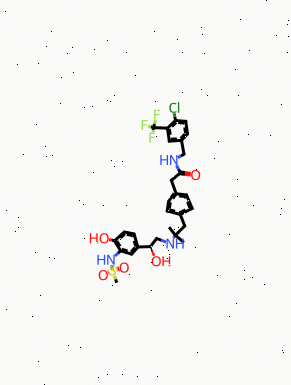 CC(C)(Cc1ccc(CC(=O)NCc2ccc(Cl)c(C(F)(F)F)c2)cc1)NC[C@@H](O)c1ccc(O)c(NS(C)(=O)=O)c1